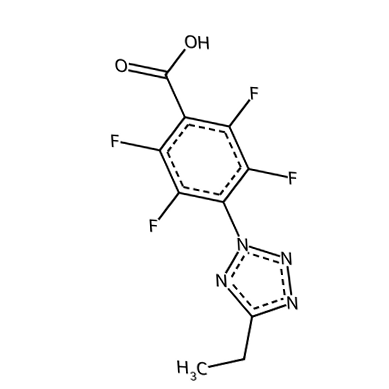 CCc1nnn(-c2c(F)c(F)c(C(=O)O)c(F)c2F)n1